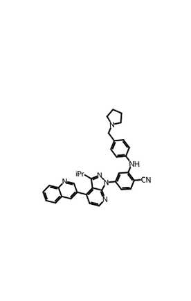 CC(C)c1nn(-c2ccc(C#N)c(Nc3ccc(CN4CCCC4)cc3)c2)c2nccc(-c3cnc4ccccc4c3)c12